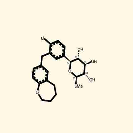 CS[C@H]1O[C@@H](c2ccc(Cl)c(Cc3ccc4c(c3)CCCCO4)c2)[C@H](O)[C@@H](O)[C@@H]1O